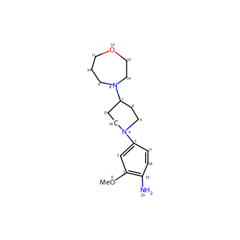 COc1cc(N2CCC(N3CCCOCC3)CC2)ccc1N